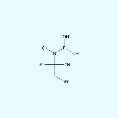 CC(C)CC(C#N)(C(C)C)N(Cl)P(O)O